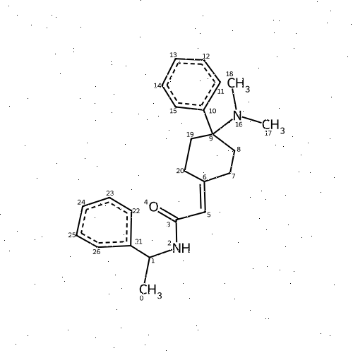 CC(NC(=O)C=C1CCC(c2ccccc2)(N(C)C)CC1)c1ccccc1